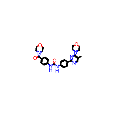 Cc1cnc(-c2ccc(NC(=O)Nc3ccc(C(=O)N4CCOCC4)cc3)cc2)nc1N1CCOCC1